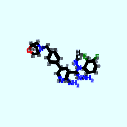 C=NN(/C(=N\N)c1cc(-c2ccc(CN3CC4CC3CO4)cc2)cnc1N)c1cccc(F)c1F